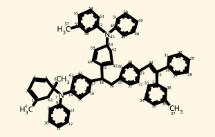 CC1=CC=CC(C)(N(c2ccccc2)c2ccc(C(Cc3ccc(/C=C(/c4ccccc4)c4cccc(C)c4)cc3)C3=CCC(N(c4ccccc4)c4cccc(C)c4)C=C3)cc2)C1